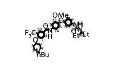 CCCCN1CCC(Oc2ccc(C(=O)Nc3ccc(Oc4ccc(NC(=O)NC(CC)CC)cc4OC)cc3)cc2C(F)(F)F)CC1